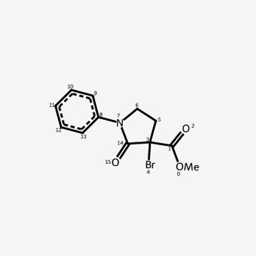 COC(=O)C1(Br)CCN(c2ccccc2)C1=O